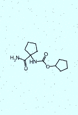 NC(=O)C1(NC(=O)OC2CCCC2)CCCC1